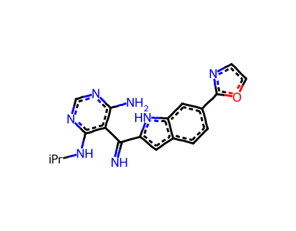 CC(C)Nc1ncnc(N)c1C(=N)c1cc2ccc(-c3ncco3)cc2[nH]1